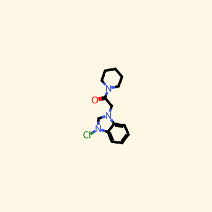 O=C(CN1CN(Cl)c2ccccc21)N1CCCCC1